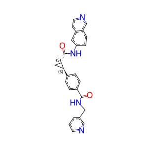 O=C(NCc1cccnc1)c1ccc([C@H]2C[C@@H]2C(=O)Nc2ccc3cnccc3c2)cc1